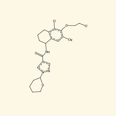 N#Cc1cc2c(c(Cl)c1OCCCl)CCCC2NC(=O)c1cnn(C2CCCCO2)c1